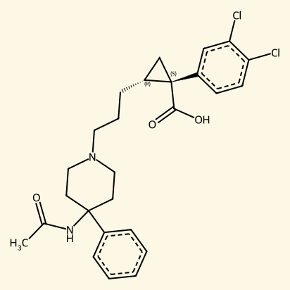 CC(=O)NC1(c2ccccc2)CCN(CCC[C@@H]2C[C@@]2(C(=O)O)c2ccc(Cl)c(Cl)c2)CC1